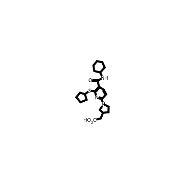 O=C(O)CC1CCN(c2ccc(C(=O)NC3CCCCC3)c(SC3CCCC3)n2)C1